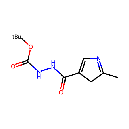 CC1=NC=C(C(=O)NNC(=O)OC(C)(C)C)C1